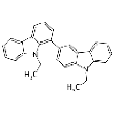 CCn1c2ccccc2c2cc(-c3cccc4c5ccccc5n(CC)c34)ccc21